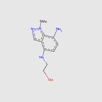 CNn1ncc2c(NCCO)ccc(N)c21